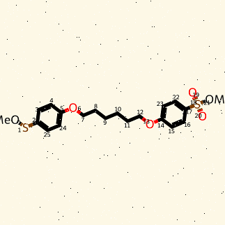 COSc1ccc(OCCCCCCOc2ccc(S(=O)(=O)OC)cc2)cc1